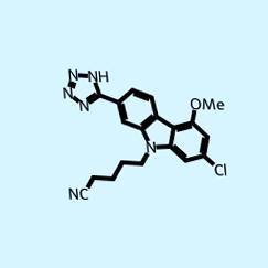 COc1cc(Cl)cc2c1c1ccc(-c3nnn[nH]3)cc1n2CCCCC#N